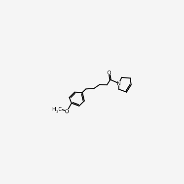 COc1ccc(CCCCC(=O)N2CC=CCC2)cc1